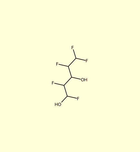 OC(F)C(F)C(O)C(F)C(F)F